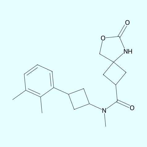 Cc1cccc(C2CC(N(C)C(=O)C3CC4(COC(=O)N4)C3)C2)c1C